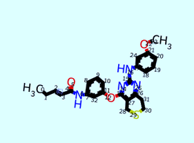 CC/C=C/C(=O)Nc1cccc(Oc2nc(Nc3cccc(OC)c3)nc3c2CSCC3)c1